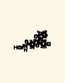 COC(=O)c1c(Cc2cccc(C(=O)NCCO)c2)c(=O)c2ccc(Cl)cc2n1-c1ccccc1